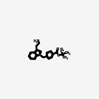 CC(C)(C)OC(=O)c1ccc(Cn2cc(CCN)c3ccccc32)cc1